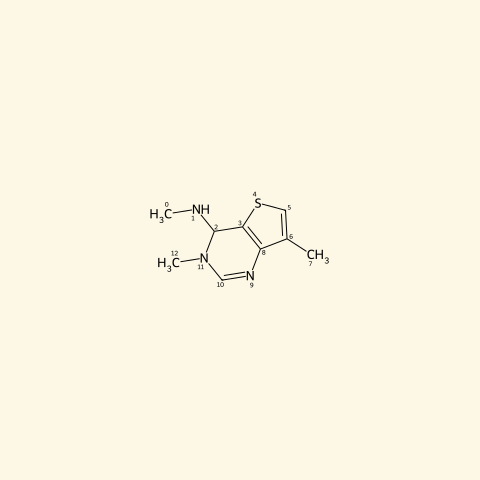 CNC1c2scc(C)c2N=CN1C